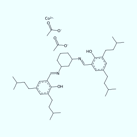 CC(=O)[O-].CC(=O)[O-].CC(C)CCc1cc(C=NC2CCCC(N=Cc3cc(CCC(C)C)cc(CCC(C)C)c3O)C2)c(O)c(CCC(C)C)c1.[Co+2]